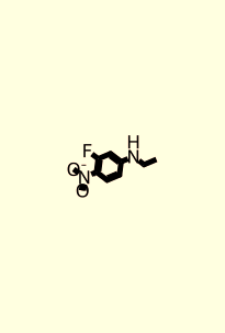 CCNc1ccc([N+](=O)[O-])c(F)c1